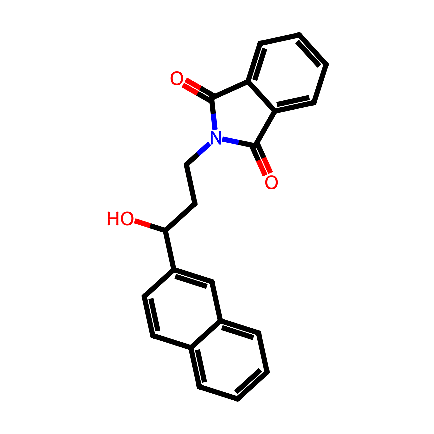 O=C1c2ccccc2C(=O)N1CCC(O)c1ccc2ccccc2c1